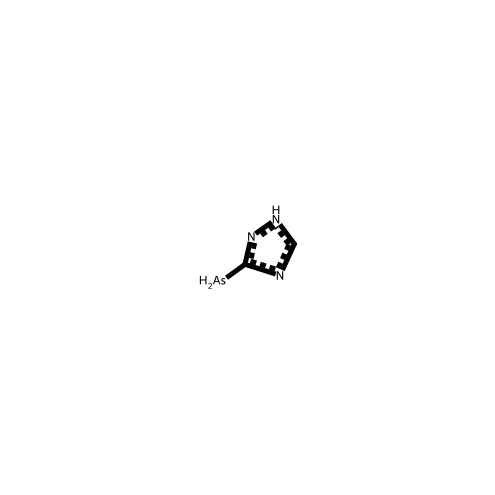 [AsH2]c1nc[nH]n1